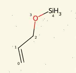 C=CCO[SiH3]